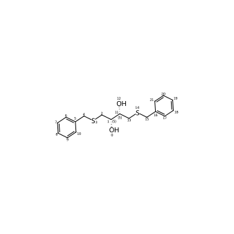 O[C@H](CSCc1ccccc1)[C@H](O)CSCc1ccccc1